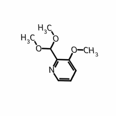 COc1cccnc1C(OC)OC